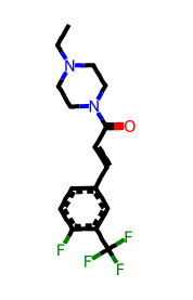 CCN1CCN(C(=O)/C=C/c2ccc(F)c(C(F)(F)F)c2)CC1